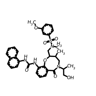 COc1cccc(S(=O)(=O)N(C)CC2Oc3c(NC(=O)Nc4cccc5ccccc45)cccc3C(=O)N(C(C)CO)CC2C)c1